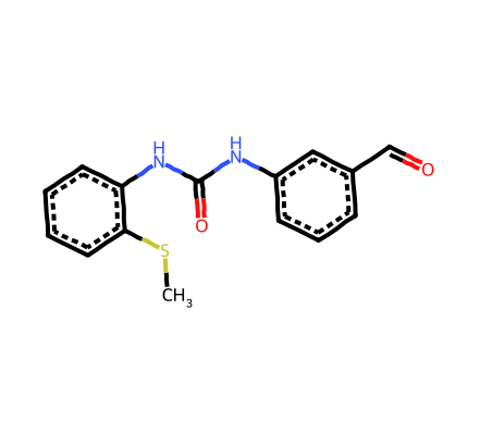 CSc1ccccc1NC(=O)Nc1cccc(C=O)c1